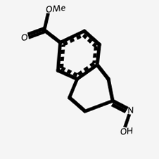 COC(=O)c1ccc2c(c1)CCC(=NO)C2